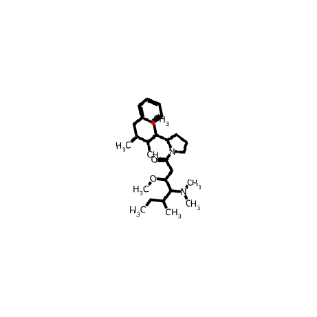 CCC(C)C(C(CC(=O)N1CCCC1C(CC)C(C)C(C)Cc1ccccc1)OC)N(C)C